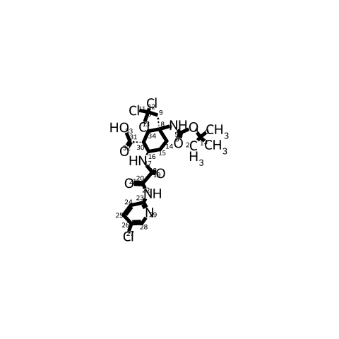 CC(C)(C)OC(=O)N[C@@]1(CC(Cl)(Cl)Cl)CC[C@H](NC(=O)C(=O)Nc2ccc(Cl)cn2)[C@H](C(=O)O)C1